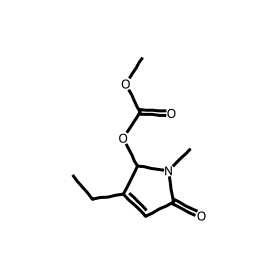 CCC1=CC(=O)N(C)C1OC(=O)OC